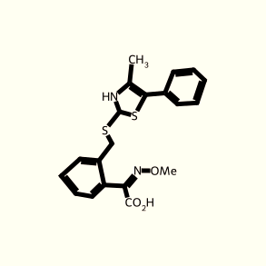 CON=C(C(=O)O)c1ccccc1CSC1NC(C)=C(c2ccccc2)S1